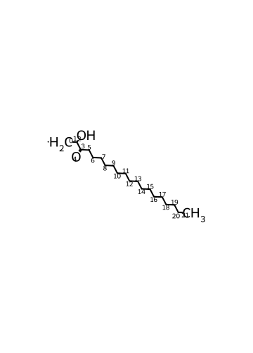 [CH2]C(O)C(=O)CCCCCCCCCCCCCCCCC